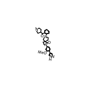 COc1cc(N2CCC3(CCN(c4ccccc4C(=O)C4CCN(C)CC4)CC3)C2=O)ccc1-c1cn[nH]c1